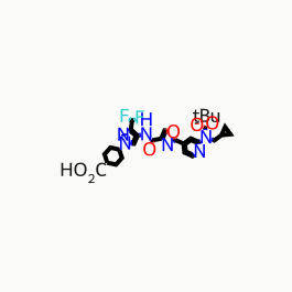 CC(C)(C)OC(=O)N(CC1CC1)c1cc(-c2nc(C(=O)Nc3cn(C4CCC(C(=O)O)CC4)nc3C(F)F)co2)ccn1